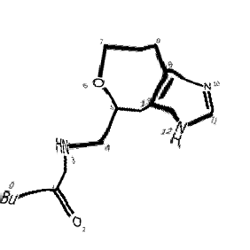 CC(C)(C)C(=O)NCC1OCCc2nc[nH]c21